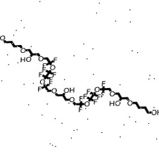 OCCCCOCC(O)COCC(F)(F)OC(F)(F)C(F)(F)OC(F)(F)COCC(O)COCC(F)(F)OC(F)(F)C(F)(F)OC(F)(F)COCC(O)COCCCCO